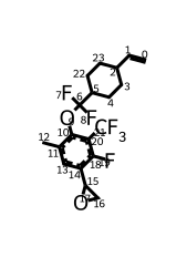 C=CC1CCC(C(F)(F)Oc2c(C)cc(C3CO3)c(F)c2C(F)(F)F)CC1